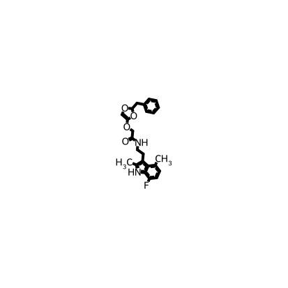 Cc1[nH]c2c(F)ccc(C)c2c1CCNC(=O)COC1=COC(Cc2ccccc2)O1